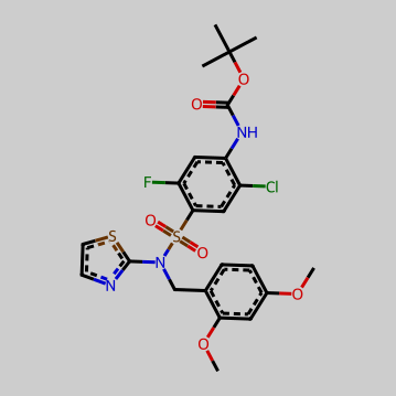 COc1ccc(CN(c2nccs2)S(=O)(=O)c2cc(Cl)c(NC(=O)OC(C)(C)C)cc2F)c(OC)c1